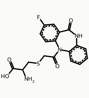 NC(CSCC(=O)N1c2ccccc2NC(=O)c2cc(F)ccc21)C(=O)O